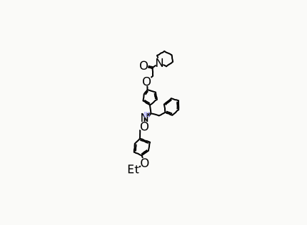 CCOc1ccc(CO/N=C(\Cc2ccccc2)c2ccc(OCC(=O)N3CCCCC3)cc2)cc1